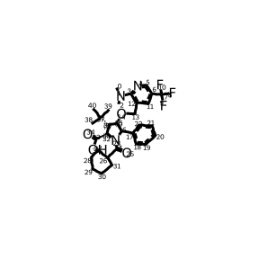 CN(C)c1ncc(C(F)(F)F)cc1CO[C@H]1C(c2ccccc2)N(C(=O)C2CCCCC2)[C@@H](C(=O)O)[C@@H]1C(C)(C)C